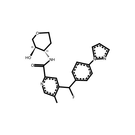 Cc1cnc(C(=O)N[C@H]2CCOC[C@@H]2O)cc1C(F)c1ccc(-n2cccn2)cc1